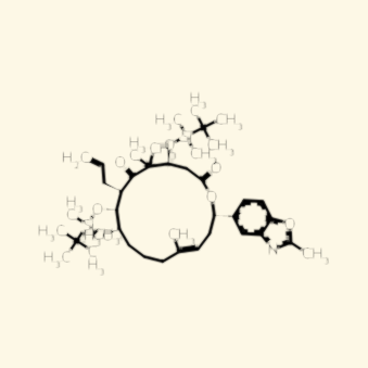 C=CC[C@H]1C(=O)C(C)(C)[C@@H](O[Si](C)(C)C(C)(C)C)CC(=O)O[C@H](c2ccc3oc(C)nc3c2)C/C=C(\C)CCC[C@H](C)[C@@H]1O[Si](C)(C)C(C)(C)C